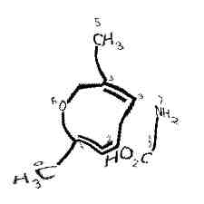 Cc1ccc(C)o1.NC(=O)O